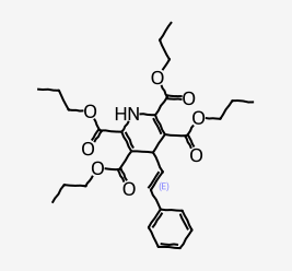 CCCOC(=O)C1=C(C(=O)OCCC)C(/C=C/c2ccccc2)C(C(=O)OCCC)=C(C(=O)OCCC)N1